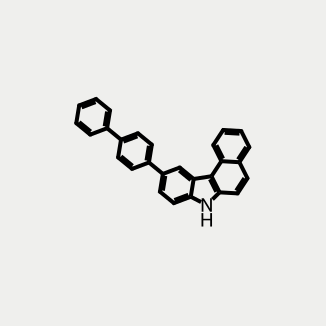 c1ccc(-c2ccc(-c3ccc4[nH]c5ccc6ccccc6c5c4c3)cc2)cc1